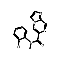 CN(C(=O)c1cn2ccnc2cn1)c1ccccc1Cl